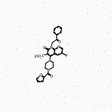 CCOC(=O)c1c(N2CCN(C(=O)c3ccco3)CC2)c2cc(F)cnc2n(CC(=O)c2ccccc2)c1=O